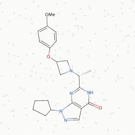 COc1ccc(OC2CN([C@H](C)c3nc4c(cnn4C4CCCC4)c(=O)[nH]3)C2)cc1